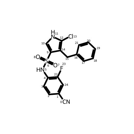 N#Cc1ccc(NS(=O)(=O)c2c[nH]c(Cl)c2Cc2ccccc2)c(F)c1